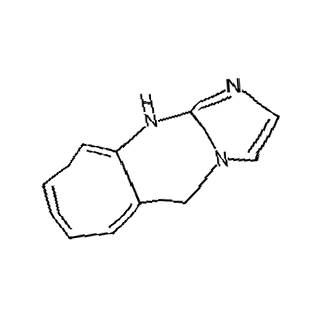 c1ccc2c(c1)Cn1ccnc1N2